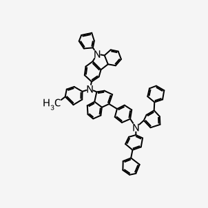 Cc1ccc(N(c2ccc3c(c2)C2C=CC=CC2N3c2ccccc2)c2ccc(-c3ccc(N(c4ccc(-c5ccccc5)cc4)c4cccc(-c5ccccc5)c4)cc3)c3ccccc23)cc1